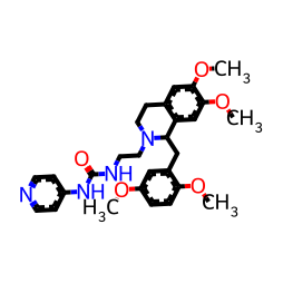 COc1ccc(OC)c(CC2c3cc(OC)c(OC)cc3CCN2CCNC(=O)Nc2ccncc2)c1